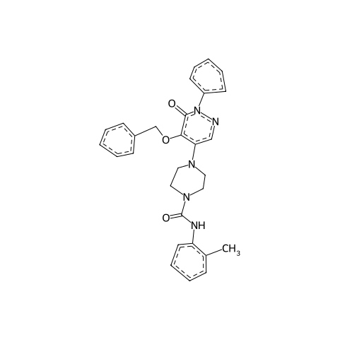 Cc1ccccc1NC(=O)N1CCN(c2cnn(-c3ccccc3)c(=O)c2OCc2ccccc2)CC1